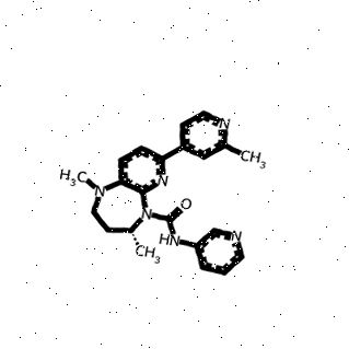 Cc1cc(-c2ccc3c(n2)N(C(=O)Nc2cccnc2)[C@H](C)CCN3C)ccn1